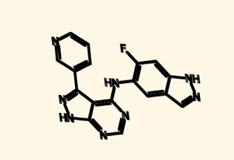 Fc1cc2[nH]ncc2cc1Nc1ncnc2[nH]nc(-c3cccnc3)c12